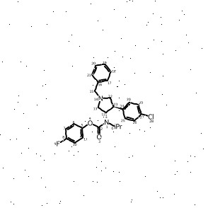 CC(C)N(C(=O)Oc1ccc(F)cc1)[C@@H]1CN(Cc2ccccc2)C[C@H]1c1ccc(Cl)cc1